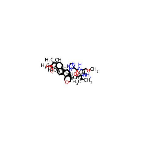 COCCNC(=O)c1ncnn1[C@@H]1C[C@@]23COC[C@](C)([C@@H]2CC[C@H]2C3=CC[C@@]3(C)[C@H](C(=O)O)[C@@](C)([C@H](C)C(C)C)CC[C@]23C)[C@H]1OC[C@](C)(N)C(C)C